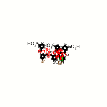 O=C(Oc1ccc(Br)cc1C(=O)OC(=O)c1cc(S(=O)(=O)O)ccc1OC(=O)c1cc(Cl)ccc1Oc1ccc(S(=O)(=O)O)cc1C(=O)OC(=O)c1cc(Br)ccc1OC(=O)c1cc(S(=O)(=O)O)ccc1O)c1cc(S(=O)(=O)O)ccc1O